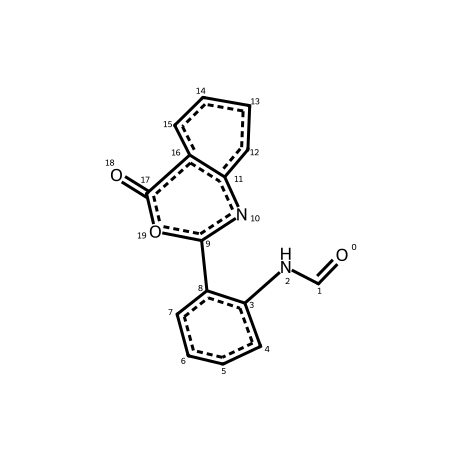 O=CNc1ccccc1-c1nc2ccccc2c(=O)o1